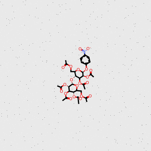 CC(=O)OCC1O[C@@H](Oc2ccc([N+](=O)[O-])cc2)[C@@H](OC(C)=O)C(OC(C)=O)[C@@H]1O[C@@H]1OC(COC(C)=O)[C@H](OC(C)=O)C(OC(C)=O)[C@@H]1OC(C)=O